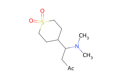 CC(=O)CC(C1CCS(=O)(=O)CC1)N(C)C